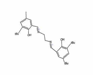 Cc1cc(/C=N/CC/N=C/c2cc(C(C)(C)C)cc(C(C)(C)C)c2O)c(O)c(C(C)(C)C)c1